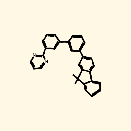 CC1(C)c2ccccc2-c2ccc(-c3cccc(-c4cccc(-c5ncccn5)c4)c3)cc21